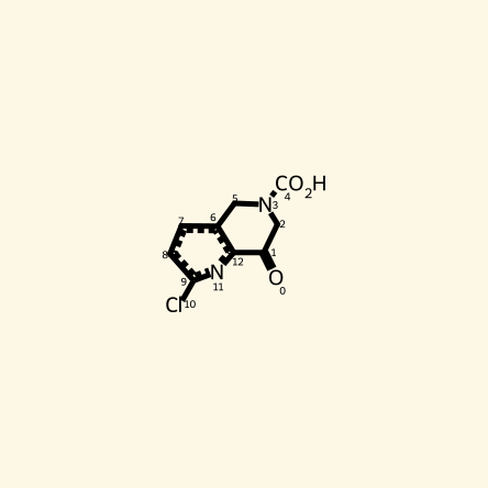 O=C1CN(C(=O)O)Cc2ccc(Cl)nc21